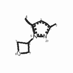 Cc1[c]c(C)n(C2COC2)n1